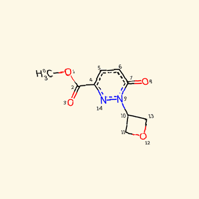 COC(=O)c1ccc(=O)n(C2COC2)n1